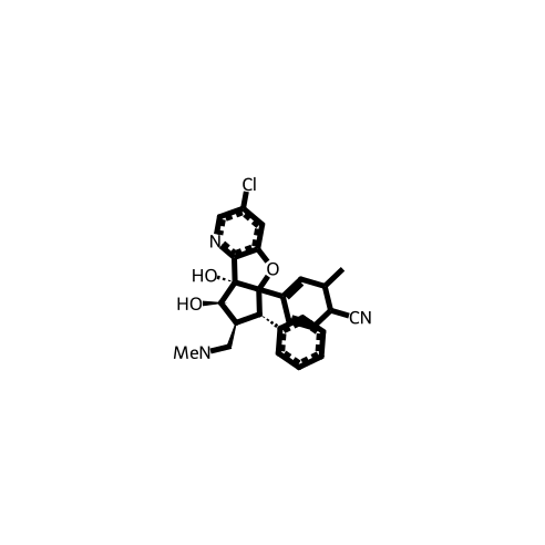 CNC[C@@H]1[C@@H](c2ccccc2)C2(C3=CC(C)C(C#N)C=C3)Oc3cc(Cl)cnc3[C@]2(O)[C@@H]1O